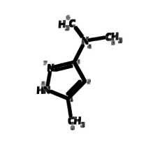 Cc1cc(N(C)C)n[nH]1